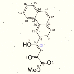 COC(=O)C(=O)/C=C(\O)c1ccc2ccc3ccccc3c2c1